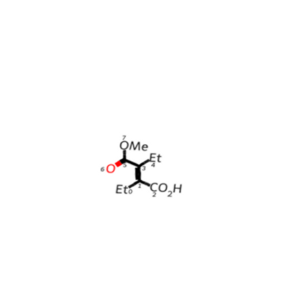 CCC(C(=O)O)=C(CC)C(=O)OC